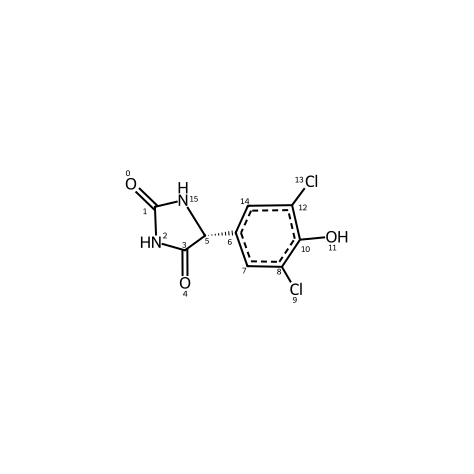 O=C1NC(=O)[C@@H](c2cc(Cl)c(O)c(Cl)c2)N1